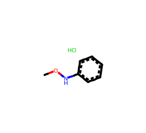 CONc1ccccc1.Cl